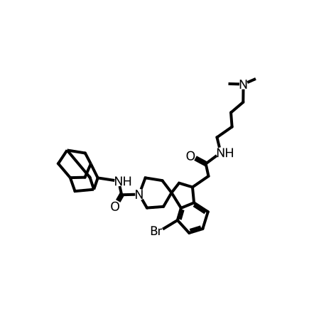 CN(C)CCCCNC(=O)CC1CC2(CCN(C(=O)NC3C4CC5CC(C4)CC3C5)CC2)c2c(Br)cccc21